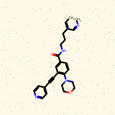 C/C=C(\C=N/C)CCCNC(=O)c1ccc(N2CCOCC2)c(C#Cc2ccncc2)c1